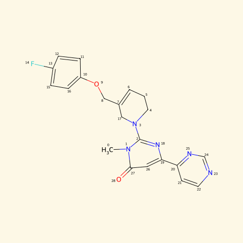 Cn1c(N2CCC=C(COc3ccc(F)cc3)C2)nc(-c2ccncn2)cc1=O